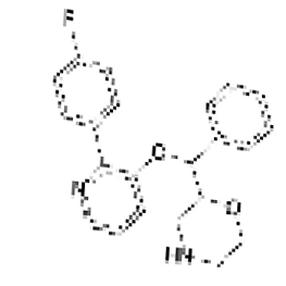 Fc1ccc(-c2ncccc2OC(c2ccccc2)C2CNCCO2)cc1